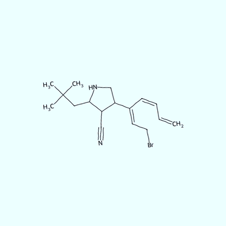 C=C/C=C\C(=C/CBr)C1CNC(CC(C)(C)C)C1C#N